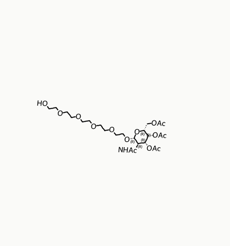 CC(=O)N[C@H]1[C@H](OCCOCCOCCOCCOCCO)O[C@H](COC(C)=O)[C@H](OC(C)=O)[C@@H]1OC(C)=O